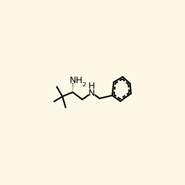 CC(C)(C)[C@H](N)CNCc1ccccc1